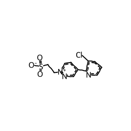 O=S(=O)([O-])CC[n+]1ccc(-c2ncccc2Cl)cn1